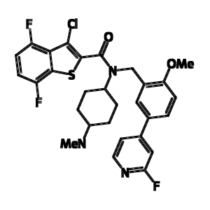 CNC1CCC(N(Cc2cc(-c3ccnc(F)c3)ccc2OC)C(=O)c2sc3c(F)ccc(F)c3c2Cl)CC1